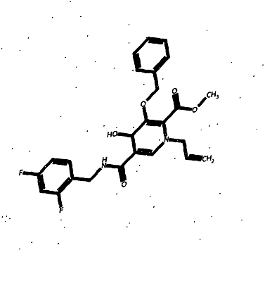 C=CCN1C=C(C(=O)NCc2ccc(F)cc2F)C(O)C(OCc2ccccc2)=C1C(=O)OC